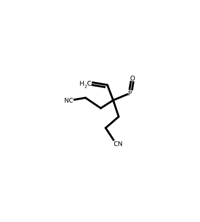 C=CC(CCC#N)(CCC#N)P=O